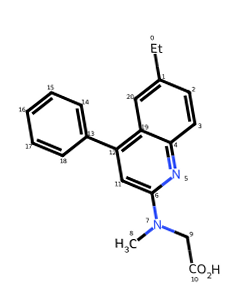 CCc1ccc2nc(N(C)CC(=O)O)cc(-c3ccccc3)c2c1